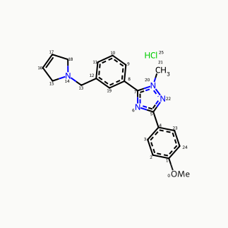 COc1ccc(-c2nc(-c3cccc(CN4CC=CC4)c3)n(C)n2)cc1.Cl